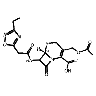 CCc1noc(CC(=O)NC2C(=O)N3C(C(=O)O)=C(COC(C)=O)CS[C@@H]23)n1